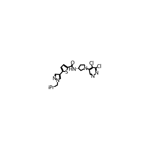 CC(C)Cn1cc(-c2ccc(C(=O)N[C@@H]3CCN(c4cnnc(Cl)c4Cl)C3)s2)cn1